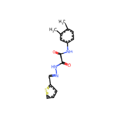 Cc1ccc(NC(=O)C(=O)NN=Cc2cccs2)cc1C